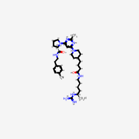 N#Cc1ccc(CCNC(=O)[C@@H]2CCCN2c2cc(N3CCC(CCCC(=O)NCCCC[C@H](NC(=N)N)C(=O)O)CC3)nc(C(F)(F)F)n2)cc1